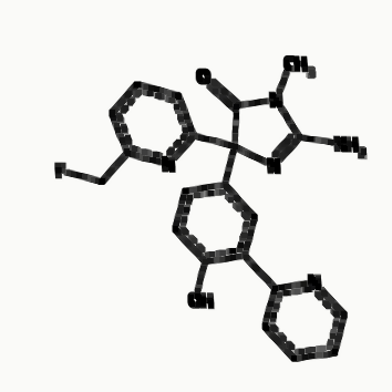 CN1C(=O)C(c2ccc(O)c(-c3ccccn3)c2)(c2cccc(CF)n2)N=C1N